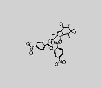 CC1=C2C(=C[C@@](C)(COC(=O)c3ccc([N+](=O)[O-])cc3)C2OC(=O)c2ccc([N+](=O)[O-])cc2)C(=O)[C@@H](C)C12CC2